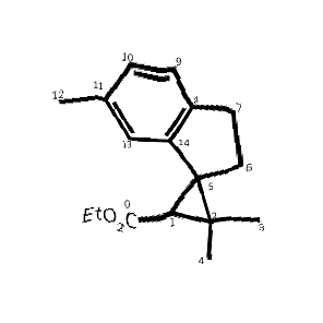 CCOC(=O)C1C(C)(C)C12CCc1ccc(C)cc12